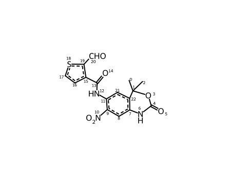 CC1(C)OC(=O)Nc2cc([N+](=O)[O-])c(NC(=O)c3ccsc3C=O)cc21